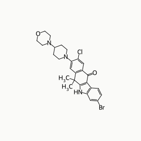 CC1(C)c2cc(N3CCC(N4CCOCC4)CC3)c(Cl)cc2C(=O)c2c1[nH]c1cc(Br)ccc21